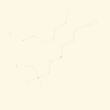 CCCOc1cc(Cl)c(C#N)cc1C(=O)NCC(N)(CC)CC